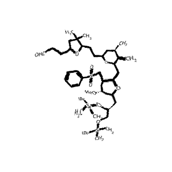 C=C1C(CC2OC(C[C@@H](CO[Si](C)(C)C(C)(C)C)O[Si](C)(C)C(C)(C)C)[C@H](OC)C2CS(=O)(=O)c2ccccc2)OC(CCC2OC(CCC=O)CC2(C)C)C[C@H]1C